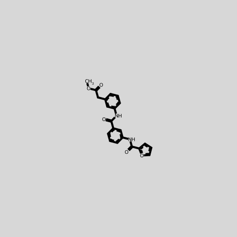 COC(=O)Cc1cccc(NC(=O)c2cccc(NC(=O)c3ccco3)c2)c1